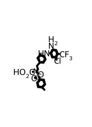 Cc1ccc(S(=O)(=O)N(CCc2ccc(Nc3cc(Cl)c(C(F)(F)F)cc3N)cc2)C(=O)O)cc1